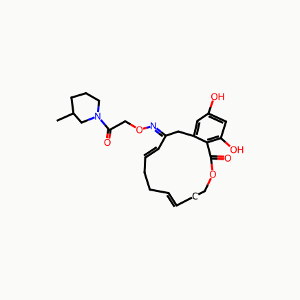 CC1CCCN(C(=O)CO/N=C2\C=C\CC/C=C/CCOC(=O)c3c(O)cc(O)cc3C2)C1